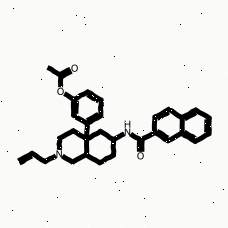 C=CCN1CCC2(c3cccc(OC(C)=O)c3)CC(NC(=O)c3ccc4ccccc4c3)CCC2C1